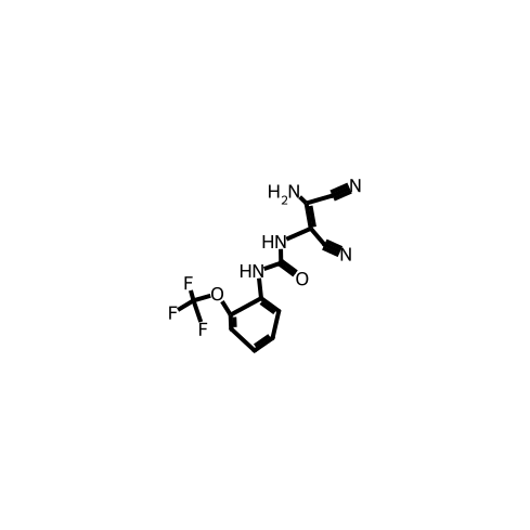 N#CC(N)=C(C#N)NC(=O)Nc1ccccc1OC(F)(F)F